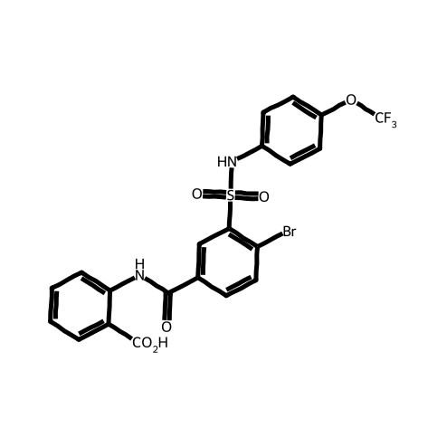 O=C(Nc1ccccc1C(=O)O)c1ccc(Br)c(S(=O)(=O)Nc2ccc(OC(F)(F)F)cc2)c1